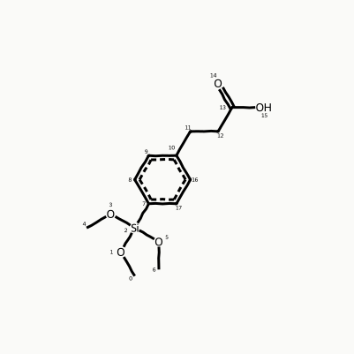 CO[Si](OC)(OC)c1ccc(CCC(=O)O)cc1